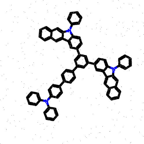 c1ccc(N(c2ccccc2)c2ccc(-c3ccc(-c4cc(-c5ccc6c(c5)c5cc7ccccc7cc5n6-c5ccccc5)cc(-c5ccc6c(c5)c5cc7ccccc7cc5n6-c5ccccc5)c4)cc3)cc2)cc1